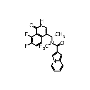 C[C@@H](c1c[nH]c(=O)c2c(F)c(F)ccc12)N(C)C(=O)c1cc2ccccn2c1